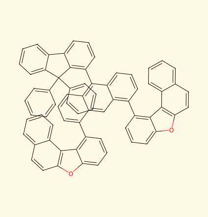 c1ccc(C2(c3ccccc3)c3ccccc3-c3cccc(-c4c5cccc(-c6cccc7oc8ccc9ccccc9c8c67)c5cc5c(-c6cccc7oc8ccc9ccccc9c8c67)cccc45)c32)cc1